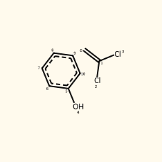 C=C(Cl)Cl.Oc1ccccc1